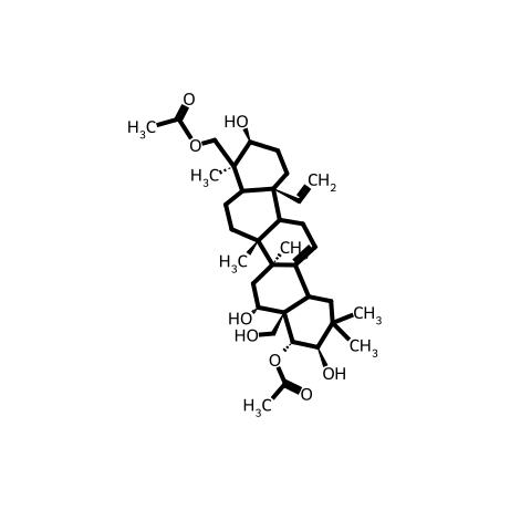 C=C[C@]12CC[C@H](O)[C@](C)(COC(C)=O)C1CC[C@]1(C)C2CC=C2C3CC(C)(C)[C@@H](O)[C@H](OC(C)=O)[C@]3(CO)[C@H](O)C[C@]21C